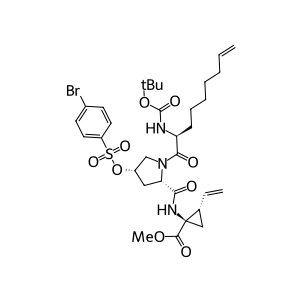 C=CCCCCC[C@H](NC(=O)OC(C)(C)C)C(=O)N1C[C@@H](OS(=O)(=O)c2ccc(Br)cc2)C[C@H]1C(=O)N[C@]1(C(=O)OC)C[C@H]1C=C